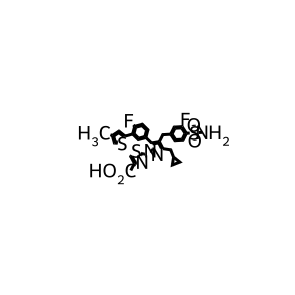 Cc1csc(-c2cc(-c3c(Cc4ccc(S(N)(=O)=O)c(F)c4)c(CC4CC4)nn3-c3nc(C(=O)O)cs3)ccc2F)c1